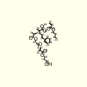 C=C(C)C(=O)OCC1CO1.C=C(C)C(=O)OCCCO.C=C(CC=Cc1ccccc1)C(=O)OC.C=CC(=O)OCCCC